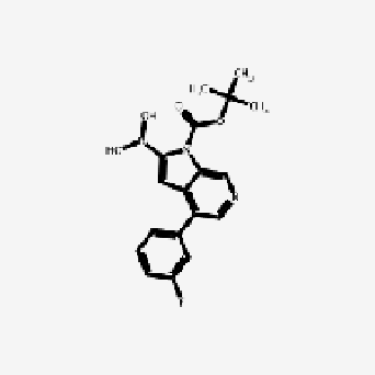 CC(C)(C)OC(=O)n1c(B(O)O)cc2c(-c3cccc(F)c3)cncc21